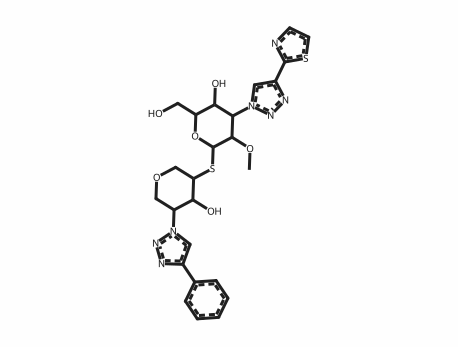 COC1C(SC2COCC(n3cc(-c4ccccc4)nn3)C2O)OC(CO)C(O)C1n1cc(-c2nccs2)nn1